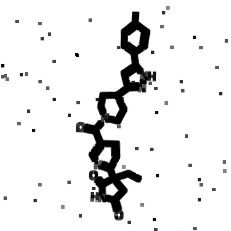 CCC1(c2ccc(C(=O)N3CCC(c4cc(-c5ccc(C)cc5)[nH]n4)CC3)cn2)CC(=O)NC1=O